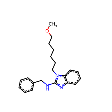 COCCCCCCn1c(NCc2ccccc2)nc2ccccc21